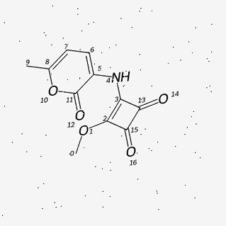 COc1c(Nc2ccc(C)oc2=O)c(=O)c1=O